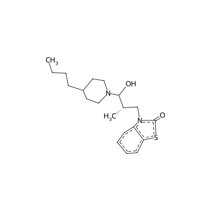 CCCCC1CCN(C(O)[C@@H](C)Cn2c(=O)sc3ccccc32)CC1